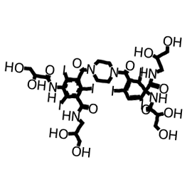 O=C(NCC(O)CO)c1c(I)c(NC(=O)C(O)CO)c(I)c(C(=O)N2CCN(C(=O)C3=C(I)C=C(I)C(NC(=O)C(O)CO)(C(=O)NCC(O)CO)C3I)CC2)c1I